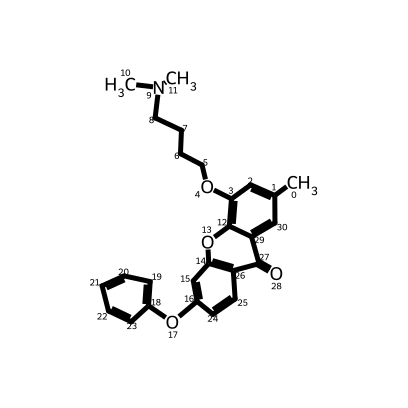 Cc1cc(OCCCCN(C)C)c2oc3cc(Oc4ccccc4)ccc3c(=O)c2c1